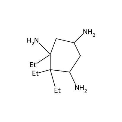 CCC1(N)CC(N)CC(N)C1(CC)CC